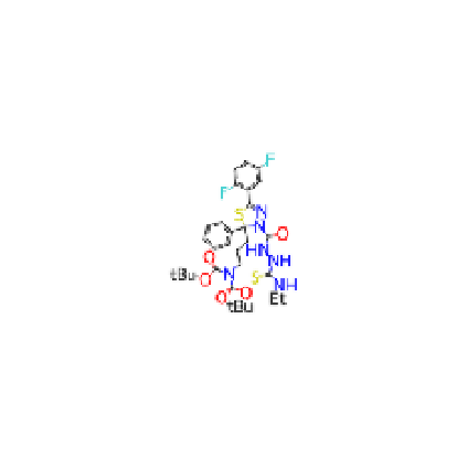 CCNC(=S)NNC(=O)N1N=C(c2cc(F)ccc2F)SC1(CCCN(C(=O)OC(C)(C)C)C(=O)OC(C)(C)C)c1ccccc1